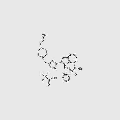 CCN(c1cccc2cc(-c3ncc(CN4CCC(CCO)CC4)s3)[nH]c12)S(=O)(=O)c1cccs1.O=C(O)C(F)(F)F